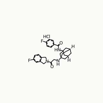 Cl.O=C(NC12C[C@@H]3C[C@@H](CC(NCC(=O)N4Cc5ccc(F)cc5C4)(C3)C1)C2)c1ccc(F)cc1